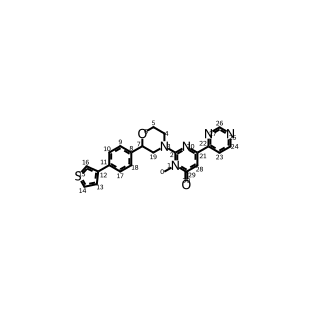 Cn1c(N2CCOC(c3ccc(-c4ccsc4)cc3)C2)nc(-c2ccncn2)cc1=O